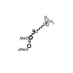 C=C(C)C(=O)OCCCCCCOC(=O)/C=C/c1ccc(OC[C@H]2CC[C@H](CCCCC)CC2)c(OC)c1